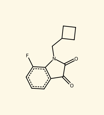 O=C1C(=O)N(CC2CCC2)c2c(F)cccc21